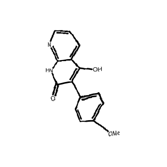 COc1ccc(-c2c(O)c3cccnc3[nH]c2=O)cc1